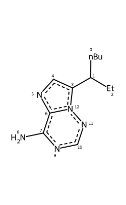 CCCCC(CC)c1cnc2c(N)ncnn12